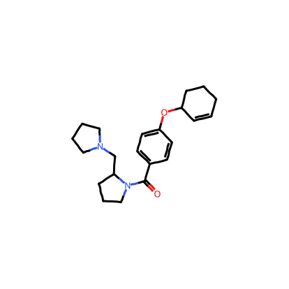 O=C(c1ccc(OC2C=CCCC2)cc1)N1CCCC1CN1CCCC1